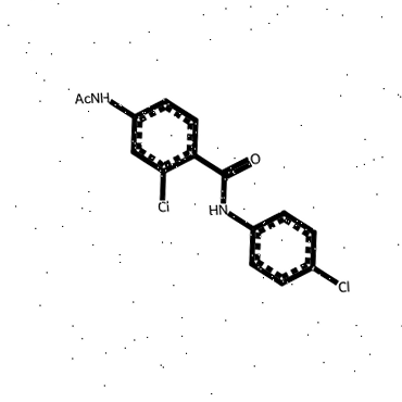 CC(=O)Nc1ccc(C(=O)Nc2ccc(Cl)cc2)c(Cl)c1